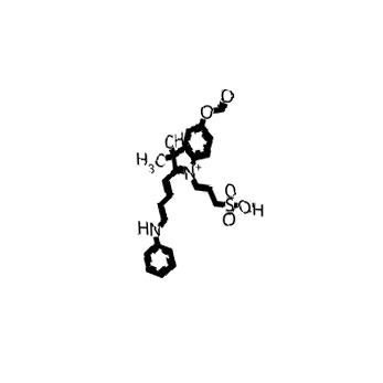 CC1(C)C(/C=C/C=C/Nc2ccccc2)=[N+](CCCS(=O)(=O)O)c2ccc(OC=O)cc21